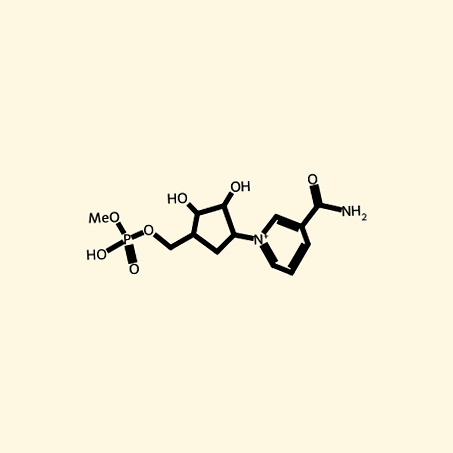 COP(=O)(O)OCC1CC([n+]2cccc(C(N)=O)c2)C(O)C1O